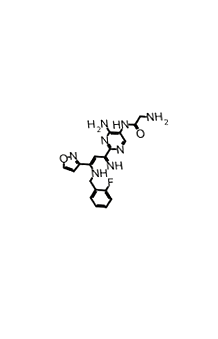 N=C(/C=C(\NCc1ccccc1F)c1ccon1)c1ncc(NC(=O)CN)c(N)n1